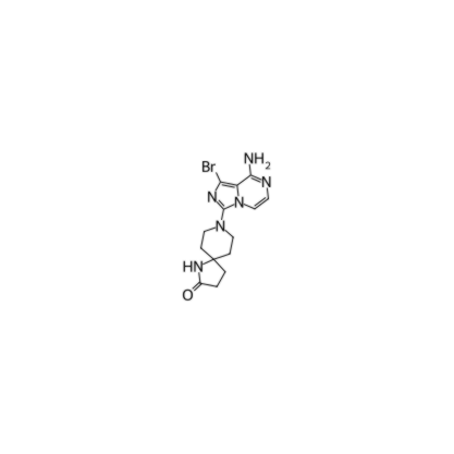 Nc1nccn2c(N3CCC4(CCC(=O)N4)CC3)nc(Br)c12